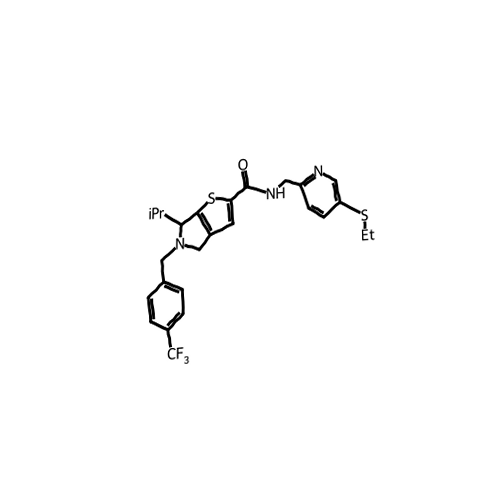 CCSc1ccc(CNC(=O)c2cc3c(s2)C(C(C)C)N(Cc2ccc(C(F)(F)F)cc2)C3)nc1